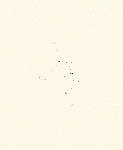 CC(C)(C)CC(=O)OC1C[C@@]2(C)[C@@H](CC[C@]2(O)C(=O)COC(=O)CCC(=O)[O-])[C@@H]2CCC3=CC(=O)C=C[C@]3(C)[C@@H]12.[Na+]